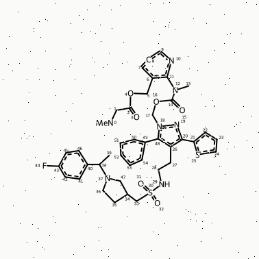 CNCC(=O)OCc1cccnc1N(C)C(=O)OCn1nc(-c2cccs2)c(CCNS(=O)(=O)CC2CCN(C(C)c3ccc(F)cc3)C2)c1-c1ccccc1